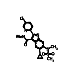 CNC(=O)c1c2cc(C3CC3)c(N(C)S(C)(=O)=O)cc2nn1-c1ccc(Cl)cn1